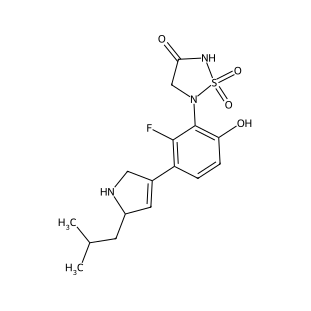 CC(C)CC1C=C(c2ccc(O)c(N3CC(=O)NS3(=O)=O)c2F)CN1